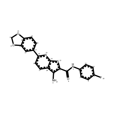 Nc1c(C(=O)Nc2ccc(F)cc2)sc2nc(-c3ccc4c(c3)OCO4)ccc12